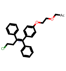 CC(=O)COCCOc1ccc(/C(=C(/CCCl)c2ccccc2)c2ccccc2)cc1